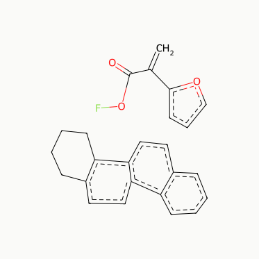 C=C(C(=O)OF)c1ccco1.c1ccc2c(c1)ccc1c3c(ccc12)CCCC3